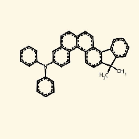 CC1(C)c2ccccc2-c2c1ccc1c2ccc2ccc3cc(N(c4ccccc4)c4ccccc4)ccc3c21